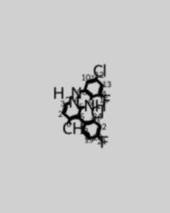 Cc1ccnc(Nc2c(N)cc(Cl)cc2F)c1-c1ccc(F)cc1Cl